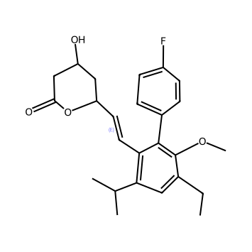 CCc1cc(C(C)C)c(/C=C/C2CC(O)CC(=O)O2)c(-c2ccc(F)cc2)c1OC